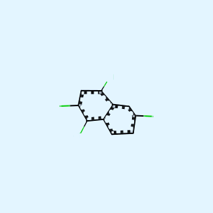 Clc1ccc2c(Cl)c(Cl)cc(Cl)c2c1